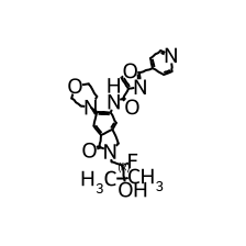 CC(C)(O)[C@H](F)CN1Cc2cc(NC(=O)c3coc(-c4ccncc4)n3)c(N3CCOCC3)cc2C1=O